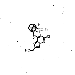 CCOC(=O)[C@@H]1C2CCC(CC2)[C@H]1Nc1nc(Cl)nn2cc(CO)cc12